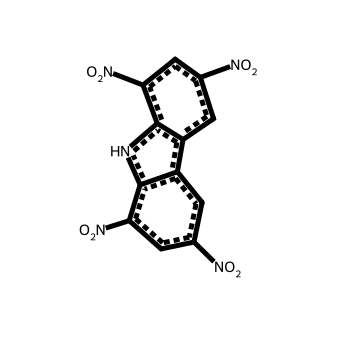 O=[N+]([O-])c1cc([N+](=O)[O-])c2[nH]c3c([N+](=O)[O-])cc([N+](=O)[O-])cc3c2c1